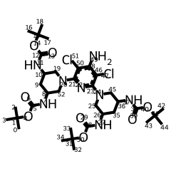 CC(C)(C)OC(=O)NC1CC(NC(=O)OC(C)(C)C)CN(c2nc(N3CC(NC(=O)OC(C)(C)C)CC(NC(=O)OC(C)(C)C)C3)c(Cl)c(N)c2Cl)C1